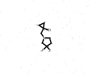 CCC1(CN2CCC(F)(F)C2)CC1